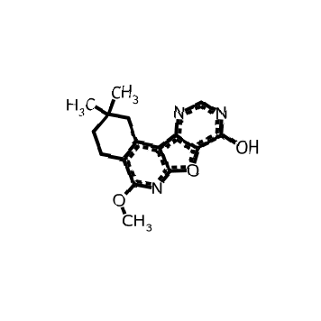 COc1nc2oc3c(O)ncnc3c2c2c1CCC(C)(C)C2